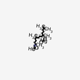 C/C(=C\C(=O)O)CCC[C@H](C)CCC[C@H](C)CCCC(C)C.[Cl][Mg][Cl]